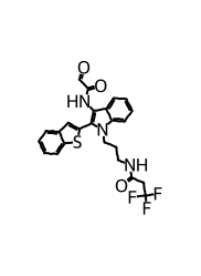 O=CC(=O)Nc1c(-c2cc3ccccc3s2)n(CCCNC(=O)CC(F)(F)F)c2ccccc12